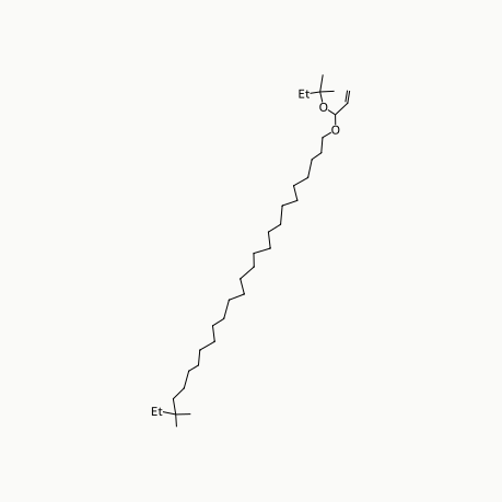 C=CC(OCCCCCCCCCCCCCCCCCCCCCCCC(C)(C)CC)OC(C)(C)CC